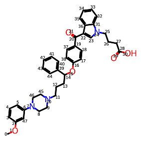 COc1cccc(N2CCN(CCCC(Oc3ccc(C(=O)c4cn(CCCC(=O)O)c5ccccc45)cc3)c3ccccc3)CC2)c1